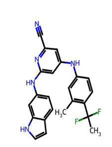 Cc1cc(Nc2cc(C#N)nc(Nc3ccc4cc[nH]c4c3)c2)ccc1C(C)(F)F